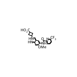 COC1=CC(=N)/C(=C\NC2CC(C(=O)O)C2)C=C1NC(=O)c1cccc(C(F)(F)F)n1